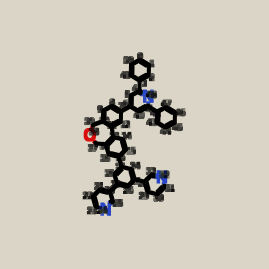 c1ccc(-c2cc(-c3ccc4c(c3)-c3ccc(-c5cc(-c6cccnc6)cc(-c6cccnc6)c5)cc3COC4)cc(-c3ccccc3)n2)cc1